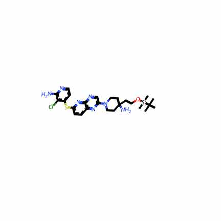 CC(C)(C)[Si](C)(C)OCCC1(N)CCN(c2cnc3nc(Sc4ccnc(N)c4Cl)ccc3n2)CC1